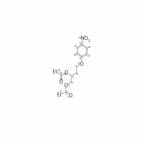 CCC(=O)OCC(CCOc1ccc([N+](=O)[O-])cc1)OC(=O)CC